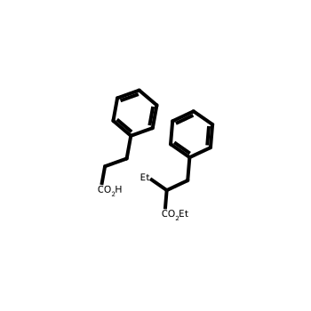 CCOC(=O)C(CC)Cc1ccccc1.O=C(O)CCc1ccccc1